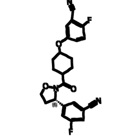 N#Cc1cc(F)cc([C@@H]2CCON2C(=O)C2CCC(Oc3ccc(F)c(C#N)c3)CC2)c1